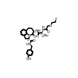 CC[C@@H](C)[C@H](NC(=O)COCCF)C(=O)N[C@H]1CCc2cccc3c2N(C1=O)[C@H](C(=O)NCc1ccc(O)cc1)C3